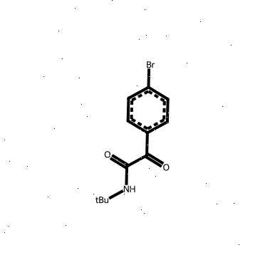 CC(C)(C)NC(=O)C(=O)c1ccc(Br)cc1